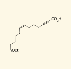 CCCCCCCCCCCC/C=C\CCCC#CC(=O)O